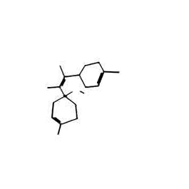 CC1=CCC(C(C)=C(C)C2(OO)CC=C(C)CC2)CC1